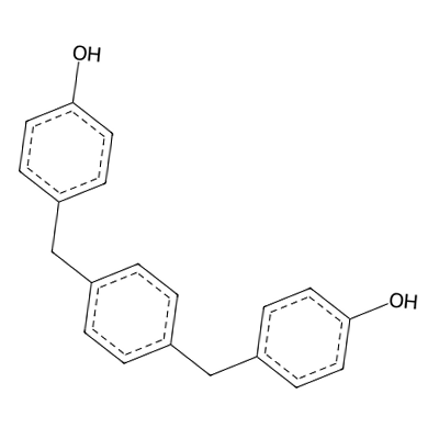 Oc1ccc(Cc2ccc(Cc3ccc(O)cc3)cc2)cc1